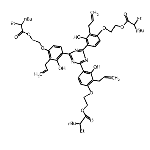 C=CCc1c(OCCOC(=O)C(CC)CCCC)ccc(-c2nc(-c3ccc(OCCOC(=O)C(CC)CCCC)c(CC=C)c3O)nc(-c3ccc(OCCOC(=O)C(CC)CCCC)c(CC=C)c3O)n2)c1O